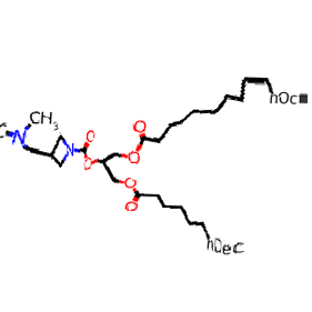 CCCCCCCC/C=C\CCCCCCCC(=O)OCC(COC(=O)CCCCCCCCCCCCCCC)OC(=O)N1CC(CN(C)C)C1